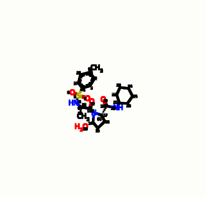 Cc1ccc(S(=O)(=O)N[C@@H](C)C(=O)N2CCC[C@H]2C(=O)NC2CCCCC2)cc1.O